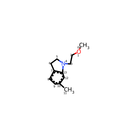 COCCN1CCc2ccc(C)cc21